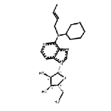 CC=CCN(c1ncnc2c1ncn2[C@@H]1O[C@H](CO)[C@@H](O)[C@H]1O)C1CCCCC1